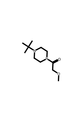 COCC(=O)N1CCN(C(C)(C)C)CC1